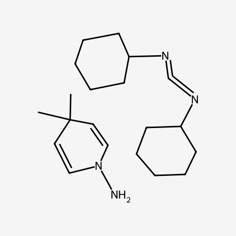 C(=NC1CCCCC1)=NC1CCCCC1.CC1(C)C=CN(N)C=C1